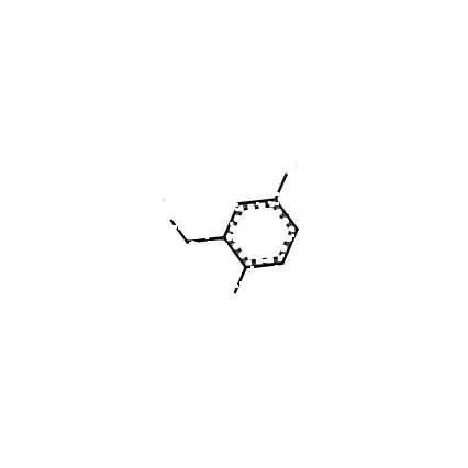 O=Cc1ccc(C=O)c(CS)c1